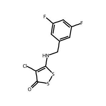 O=c1ssc(NCc2cc(F)cc(F)c2)c1Cl